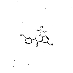 CC(C(=O)c1cc(O)ccc1OP(=O)(O)O)c1cccc(O)c1